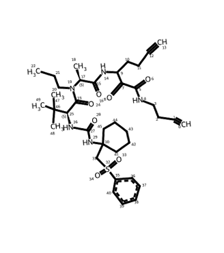 C#CCCNC(=O)C(=O)C(CCC#C)NC(=O)[C@H](C)N(CCC)C(=O)[C@@H](NC(=O)NC1(CS(=O)(=O)c2ccccc2)CCCCC1)C(C)(C)C